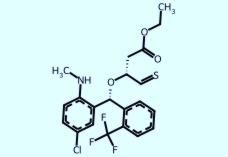 CCOC(=O)C[C@H](C=S)O[C@@H](c1cc(Cl)ccc1NC)c1ccccc1C(F)(F)F